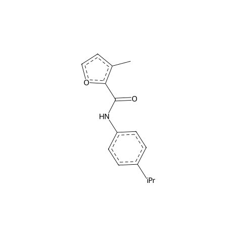 Cc1ccoc1C(=O)Nc1ccc(C(C)C)cc1